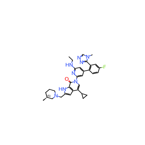 CCNc1cc(-c2ccc(F)cc2-c2nncn2C)cc(-n2cc(C3CC3)c3cc(CN4CCC[C@H](C)C4)[nH]c3c2=O)n1